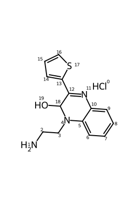 Cl.NCCN1c2ccccc2N=C(c2cccs2)C1O